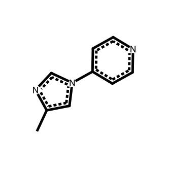 Cc1cn(-c2ccncc2)cn1